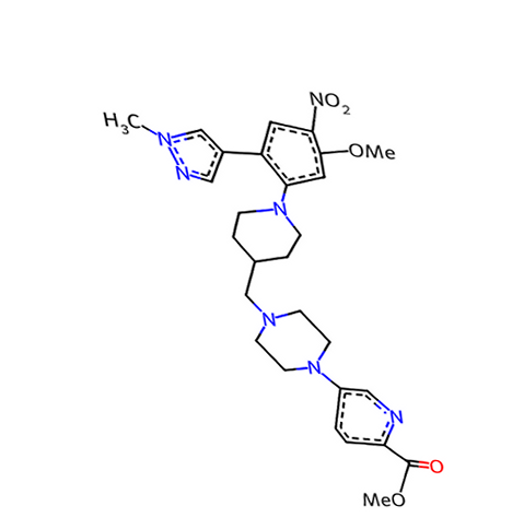 COC(=O)c1ccc(N2CCN(CC3CCN(c4cc(OC)c([N+](=O)[O-])cc4-c4cnn(C)c4)CC3)CC2)cn1